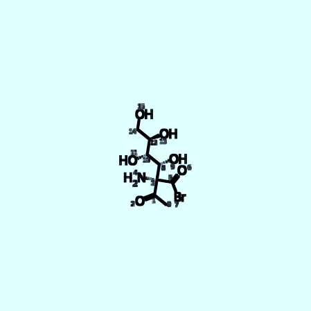 CC(=O)[C@](N)(C(=O)Br)[C@@H](O)[C@H](O)[C@H](O)CO